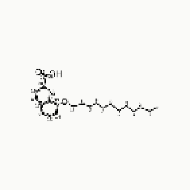 CCCCCCCCCCCCOc1cccc2ccc(C(=O)O)nc12